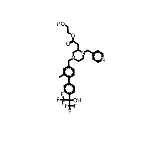 Cc1cc(CN2CCN(Cc3ccncc3)C(CC(=O)OCCO)C2)ccc1-c1ccc(C(O)(C(F)(F)F)C(F)(F)F)cc1